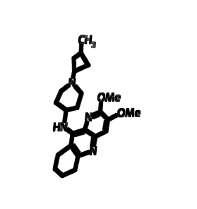 COc1cc2nc3c(c(NC4CCN(C5CC(C)C5)CC4)c2nc1OC)CCCC3